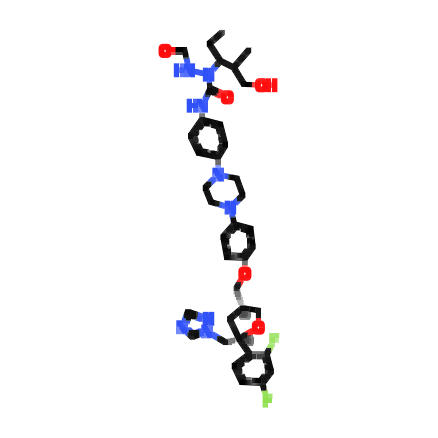 CCC(C(C)CO)N(NC=O)C(=O)Nc1ccc(N2CCN(c3ccc(OC[C@@H]4CO[C@@](Cn5cncn5)(c5ccc(F)cc5F)C4)cc3)CC2)cc1